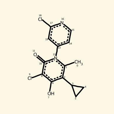 Cc1c(C2CC2)c(O)c(Cl)c(=O)n1-c1ccnc(Cl)c1